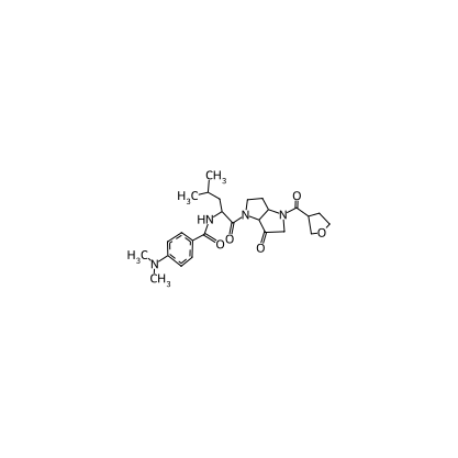 CC(C)CC(NC(=O)c1ccc(N(C)C)cc1)C(=O)N1CCC2C1C(=O)CN2C(=O)C1CCOC1